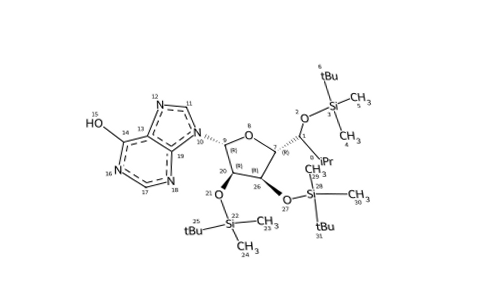 CC(C)C(O[Si](C)(C)C(C)(C)C)[C@H]1O[C@@H](n2cnc3c(O)ncnc32)[C@H](O[Si](C)(C)C(C)(C)C)[C@@H]1O[Si](C)(C)C(C)(C)C